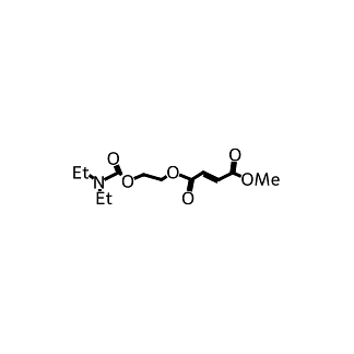 CCN(CC)C(=O)OCCOC(=O)/C=C/C(=O)OC